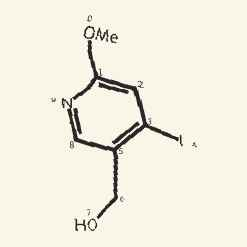 COc1cc(I)c(CO)cn1